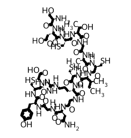 CC[C@H](C)[C@H](NC(=O)[C@H](CS)NC(=O)[C@H](C)NC(=O)CNC(=O)[C@@H](NC(=O)[C@H](CS)NC(=O)[C@H](CC(=O)O)NC(=O)[C@@H](N)CO)[C@@H](C)O)C(=O)N[C@@H](CS)C(=O)N[C@@H](CCCNC(=N)N)C(=O)NCC(=O)N[C@@H](CC(N)=O)C(=O)NCC(=O)N[C@@H](Cc1ccc(O)cc1)C(=O)N[C@@H](CS)C(=O)NCC(=O)O